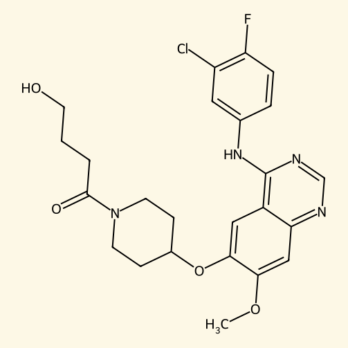 COc1cc2ncnc(Nc3ccc(F)c(Cl)c3)c2cc1OC1CCN(C(=O)CCCO)CC1